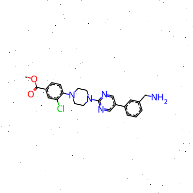 COC(=O)c1ccc(N2CCN(c3ncc(-c4cccc(CN)c4)cn3)CC2)c(Cl)c1